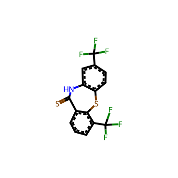 FC(F)(F)c1ccc2c(c1)NC(=S)c1cccc(C(F)(F)F)c1S2